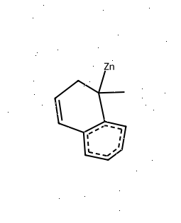 C[C]1([Zn])CC=Cc2ccccc21